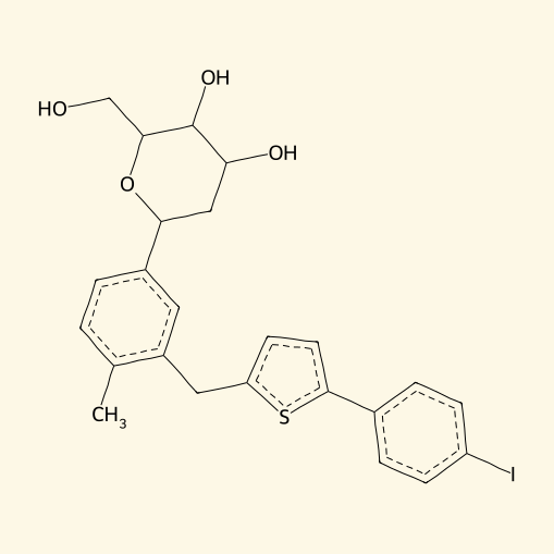 Cc1ccc(C2CC(O)C(O)C(CO)O2)cc1Cc1ccc(-c2ccc(I)cc2)s1